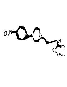 CC(C)(C)OC(=O)NCCN1CCN(c2ccc([N+](=O)[O-])cc2)CC1